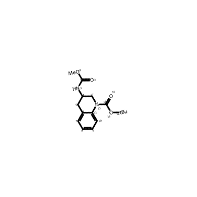 COC(=O)NC1Cc2ccccc2N(C(=O)OC(C)(C)C)C1